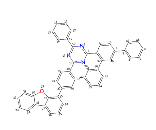 c1ccc(-c2ccc(-c3nc(-c4ccccc4)nc(-c4ccc(-c5cccc6c5oc5ccccc56)cc4)n3)c(-c3ccccc3)c2)cc1